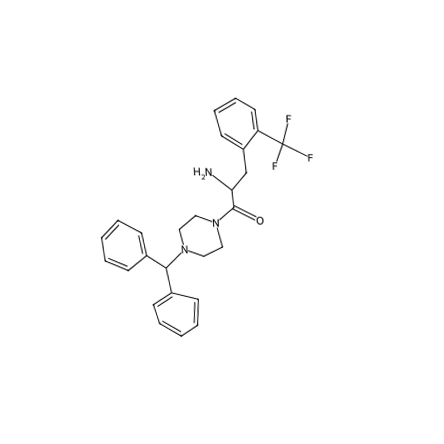 NC(Cc1ccccc1C(F)(F)F)C(=O)N1CCN(C(c2ccccc2)c2ccccc2)CC1